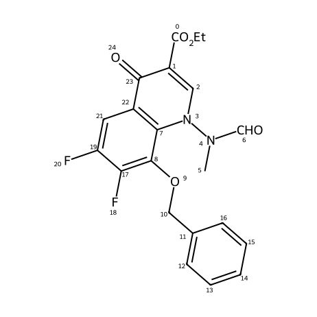 CCOC(=O)c1cn(N(C)C=O)c2c(OCc3ccccc3)c(F)c(F)cc2c1=O